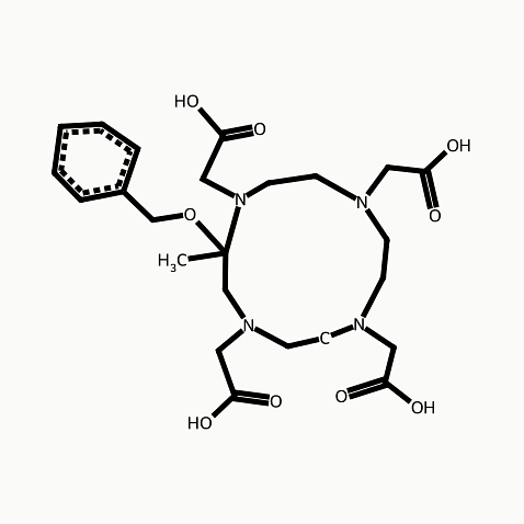 CC1(OCc2ccccc2)CN(CC(=O)O)CCN(CC(=O)O)CCN(CC(=O)O)CCN1CC(=O)O